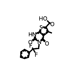 Cc1c(C(=O)O)sc2[nH]c(=O)n(CC(F)(F)c3ccccc3)c(=O)c12